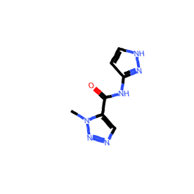 Cn1nncc1C(=O)Nc1cc[nH]n1